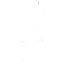 COC(=O)C12CCC(C3(O)CC(C(C)(F)F)=NO3)(CC1)CC2